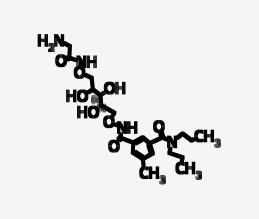 CCCN(CCC)C(=O)c1cc(C)cc(C(=O)NOC[C@H](O)[C@H](O)C(O)CONC(=O)CN)c1